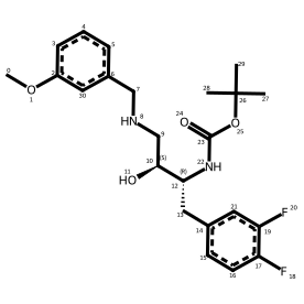 COc1cccc(CNC[C@H](O)[C@@H](Cc2ccc(F)c(F)c2)NC(=O)OC(C)(C)C)c1